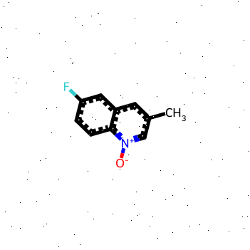 Cc1cc2cc(F)ccc2[n+]([O-])c1